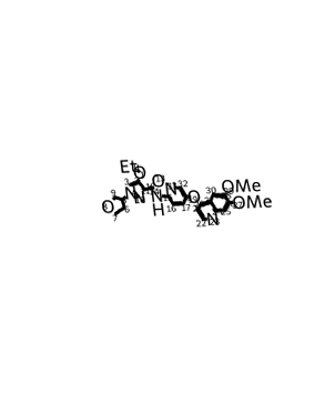 CCOc1cn(C2CCOC2)nc1C(=O)Nc1ccc(Oc2ccnc3cc(OC)c(OC)cc23)cn1